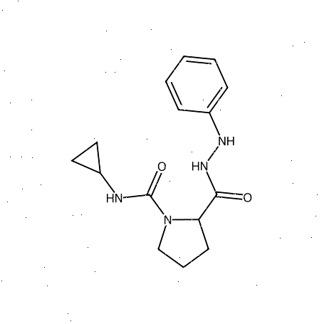 O=C(NNc1ccccc1)C1CCCN1C(=O)NC1CC1